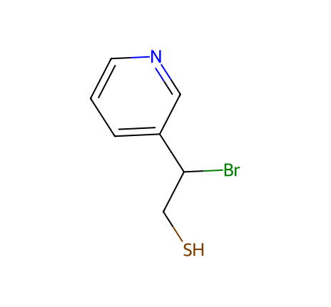 SCC(Br)c1cccnc1